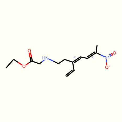 C=C/C(=C\C=C(/C)[N+](=O)[O-])CCNCC(=O)OCC